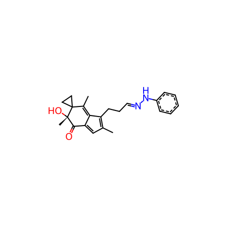 CC1=C(CC/C=N/Nc2ccccc2)C2=C(C)C3(CC3)[C@@](C)(O)C(=O)C2=C1